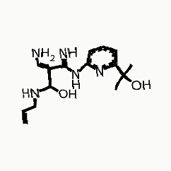 C=CCNC(O)/C(=C/N)C(=N)Nc1cccc(C(C)(C)O)n1